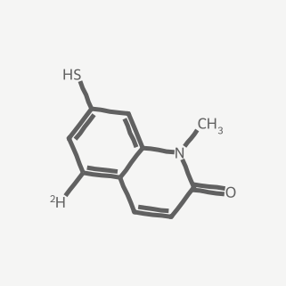 [2H]c1cc(S)cc2c1ccc(=O)n2C